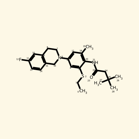 CCSc1cc(N2CCc3cc(F)ccc3C2)cc(C)c1NC(=O)CC(C)(C)C